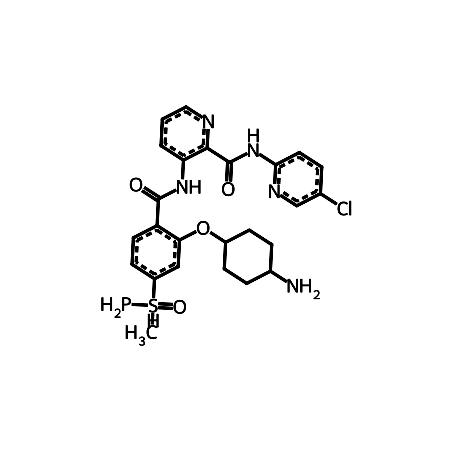 C[SH](=O)(P)c1ccc(C(=O)Nc2cccnc2C(=O)Nc2ccc(Cl)cn2)c(OC2CCC(N)CC2)c1